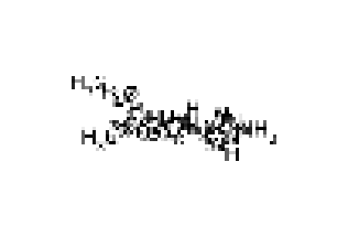 CCCOC(=O)CC[C@H](NC(=O)c1ccc(NCc2cnc3[nH]c(N)nc(=O)c3n2)cc1)C(=O)OCCC